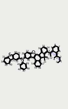 C\C=C/C(C)=c1\cccc\c1=C(\C)c1cccc2c1C(C)(C)c1c-2c2oc3ccc(N(C4=Cc5c(sc6ccccc56)CC4)c4ccccc4)cc3c2c2ccccc12